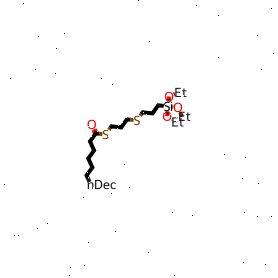 CCCCCCCCCCCCCCCC(=O)SCCCSCCC[Si](OCC)(OCC)OCC